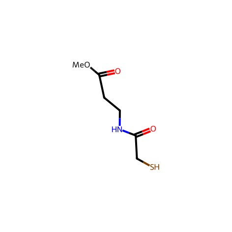 COC(=O)CCNC(=O)CS